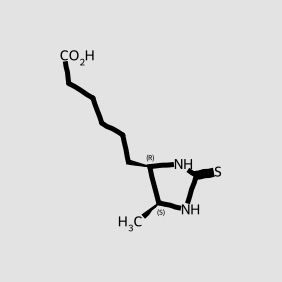 C[C@@H]1NC(=S)N[C@@H]1CCCCCC(=O)O